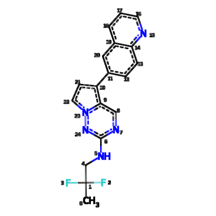 CC(F)(F)CNc1ncc2c(-c3ccc4ncccc4c3)ccn2n1